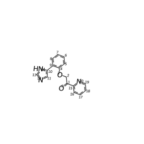 O=C(COc1ccccc1-c1cnc[nH]1)c1ccccn1